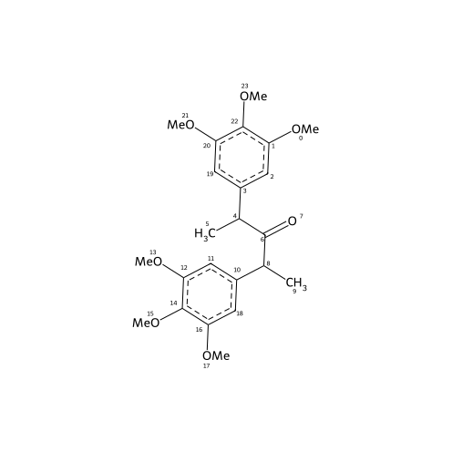 COc1cc(C(C)C(=O)C(C)c2cc(OC)c(OC)c(OC)c2)cc(OC)c1OC